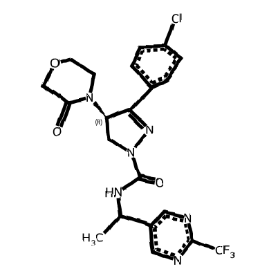 CC(NC(=O)N1C[C@@H](N2CCOCC2=O)C(c2ccc(Cl)cc2)=N1)c1cnc(C(F)(F)F)nc1